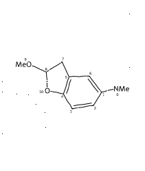 CNc1ccc2c(c1)CC(OC)O2